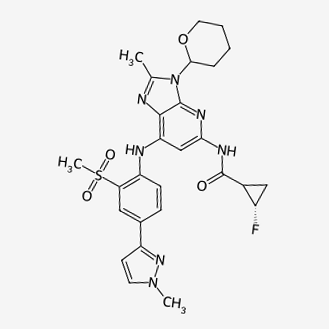 Cc1nc2c(Nc3ccc(-c4ccn(C)n4)cc3S(C)(=O)=O)cc(NC(=O)C3C[C@@H]3F)nc2n1C1CCCCO1